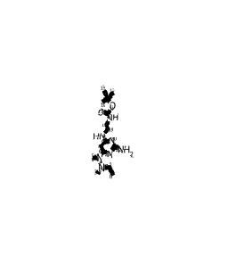 CCN(C)N(C)C1CC(NCCNC(=O)OC(C)(C)C)=NC(N)=N1